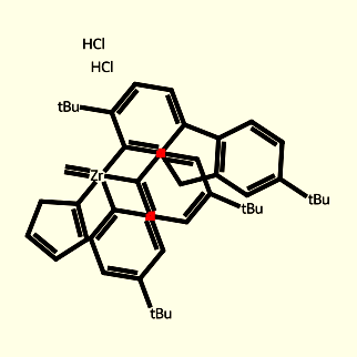 Cl.Cl.[CH2]=[Zr]([C]1=CC=CC1)([c]1ccc(C(C)(C)C)cc1)([c]1ccc(C(C)(C)C)cc1)[c]1c(C(C)(C)C)ccc2c1Cc1cc(C(C)(C)C)ccc1-2